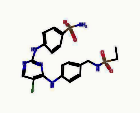 CCS(=O)(=O)NCc1ccc(Nc2nc(Nc3ccc(S(N)(=O)=O)cc3)ncc2F)cc1